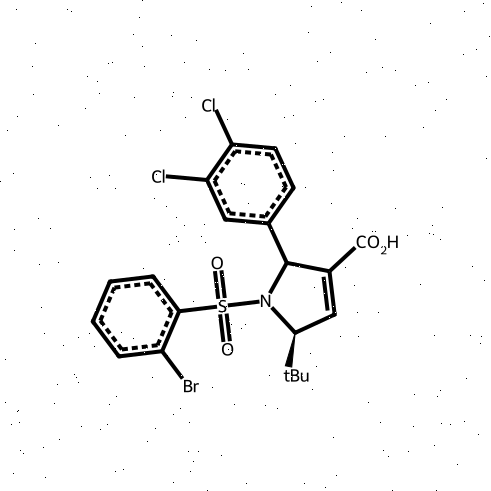 CC(C)(C)[C@@H]1C=C(C(=O)O)C(c2ccc(Cl)c(Cl)c2)N1S(=O)(=O)c1ccccc1Br